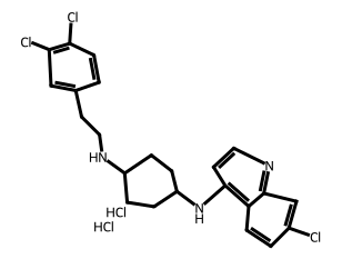 Cl.Cl.Clc1ccc2c(NC3CCC(NCCc4ccc(Cl)c(Cl)c4)CC3)ccnc2c1